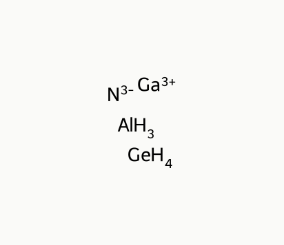 [AlH3].[Ga+3].[GeH4].[N-3]